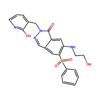 O=c1c2cc(NCCO)c(S(=O)(=O)c3ccccc3)cc2cnn1Cc1cccnc1O